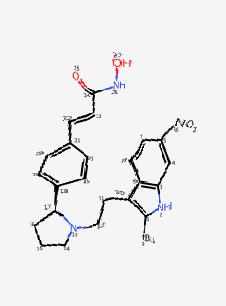 CC(C)(C)c1[nH]c2cc([N+](=O)[O-])ccc2c1CCN1CCC[C@H]1c1ccc(C=CC(=O)NO)cc1